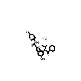 CN(C)N(C(=O)C1CCCCC1)c1cc(O)cc2cc(C(=O)Nc3ccc(Cl)cn3)oc12.Cl